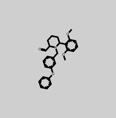 COc1cccc(OC)c1C1CCCC(C=O)N1Cc1cccc(Oc2ccccc2)c1